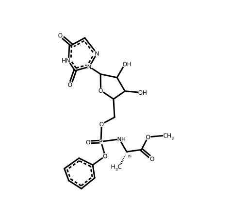 COC(=O)[C@H](C)NP(=O)(OCC1OC(n2ncc(=O)[nH]c2=O)C(O)C1O)Oc1ccccc1